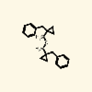 c1ccc(CC2([SiH2]O[SiH2]C3(Cc4ccccc4)CC3)CC2)cc1